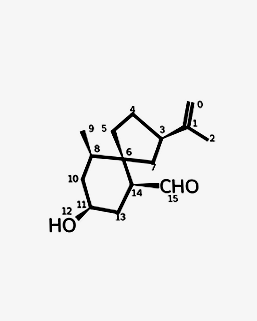 C=C(C)[C@@H]1CC[C@]2(C1)[C@H](C)C[C@H](O)C[C@@H]2C=O